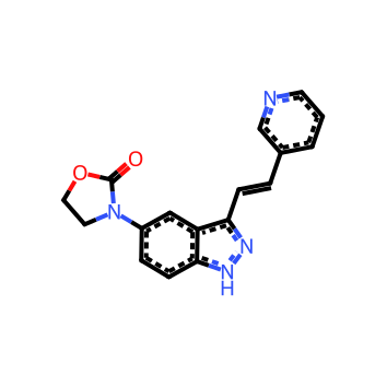 O=C1OCCN1c1ccc2[nH]nc(C=Cc3cccnc3)c2c1